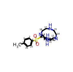 Cc1ccc(S(=O)(=O)C2CNCCN3CCNCCN2CCNCC3)cc1